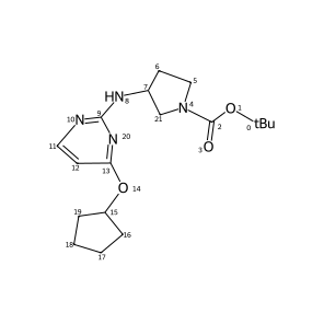 CC(C)(C)OC(=O)N1CCC(Nc2nccc(OC3CCCC3)n2)C1